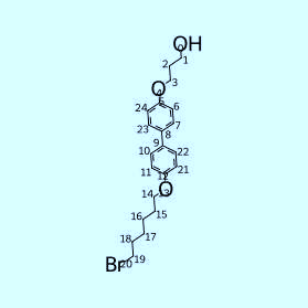 OCCCOc1ccc(-c2ccc(OCCCCCCBr)cc2)cc1